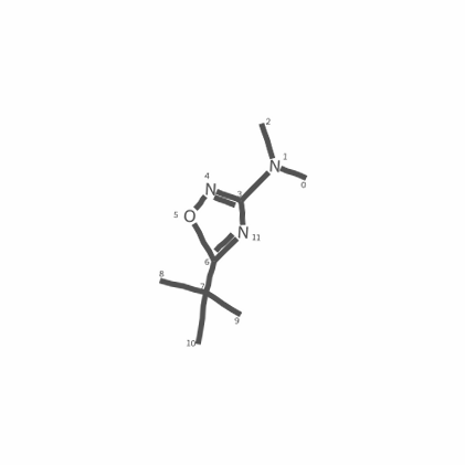 CN(C)c1noc(C(C)(C)C)n1